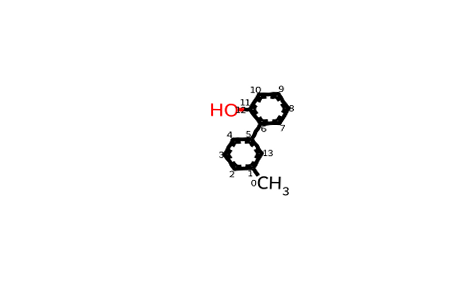 Cc1cccc(-c2ccccc2O)c1